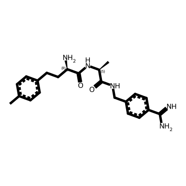 Cc1ccc(CC[C@@H](N)C(=O)N[C@@H](C)C(=O)NCc2ccc(C(=N)N)cc2)cc1